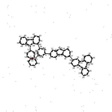 c1ccc(-c2nc(-c3ccc4c(c3)sc3ccc(-c5ccc6c7ccccc7c7ccccc7c6c5)cc34)nc(-c3cccc4c5ccccc5n(-c5ccccc5)c34)n2)cc1